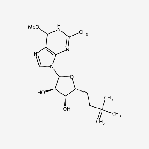 C=P(C)(C)CC[C@H]1OC(n2cnc3c2N=C(C)NC3OC)[C@H](O)[C@@H]1O